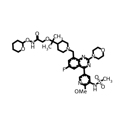 COc1ncc(-c2nc(N3CCOCC3)nc3c(CN4CCC(C(C)(C)OCC(=O)NOC5CCCCO5)CC4)cc(F)cc23)cc1NS(C)(=O)=O